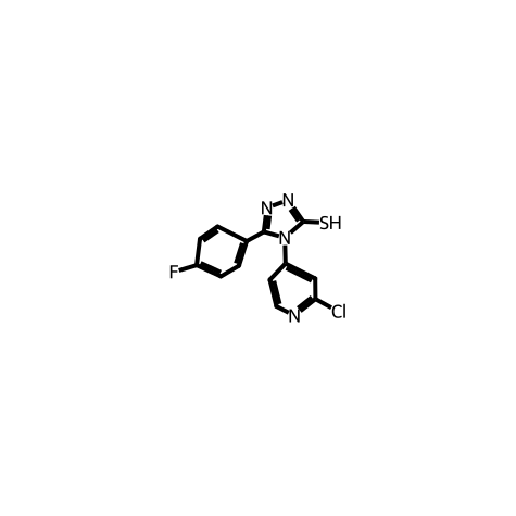 Fc1ccc(-c2nnc(S)n2-c2ccnc(Cl)c2)cc1